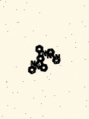 c1ccc(-c2cccc(-n3c4ccccc4c4cc5c(cc43)c3ccccc3n3c4ccccc4nc53)n2)nc1